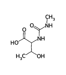 CNC(=O)NC(C(=O)O)C(C)O